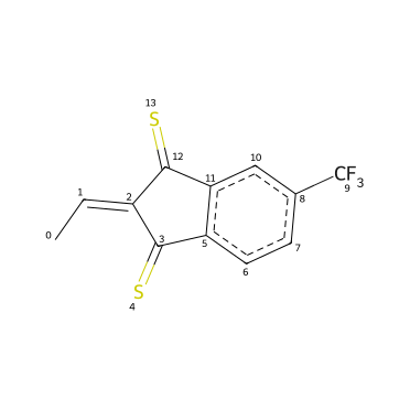 C/C=C1\C(=S)c2ccc(C(F)(F)F)cc2C1=S